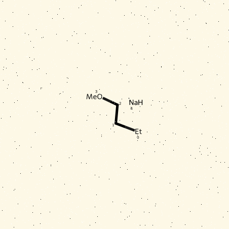 CCCCOC.[NaH]